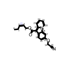 CC/C=C\COC(=O)c1c2ccc(OCC#N)cc2n2ccccc12